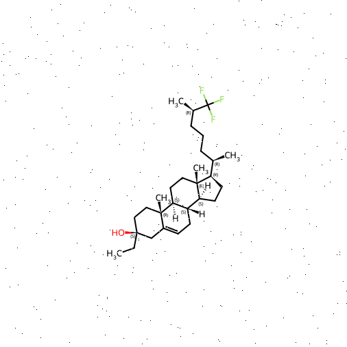 CC[C@]1(O)CC[C@@]2(C)C(=CC[C@H]3[C@@H]4CC[C@H]([C@H](C)CCC[C@@H](C)C(F)(F)F)[C@@]4(C)CC[C@@H]32)C1